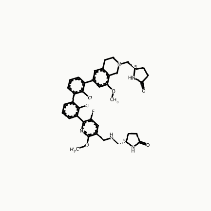 COc1cc(-c2cccc(-c3cccc(-c4nc(OC)c(CNC[C@@H]5CCC(=O)N5)cc4F)c3Cl)c2Cl)cc2c1CN(C[C@H]1CCC(=O)N1)CC2